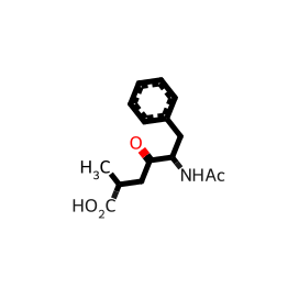 CC(=O)NC(Cc1ccccc1)C(=O)CC(C)C(=O)O